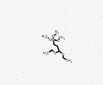 CCOC(CC[Si](OC)(OC)OC)OCC